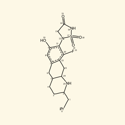 CC(C)CC1CCC2Cc3cc(O)c(N4CC(=O)NS4(=O)=O)c(F)c3CC2N1